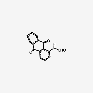 O=CNc1cccc2c1C(=O)c1ccccc1C2=O